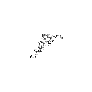 CSCc1c(F)c(Cl)c(-c2cn3cc(NC(=O)C4CC4F)nc3cn2)c2cn[nH]c12